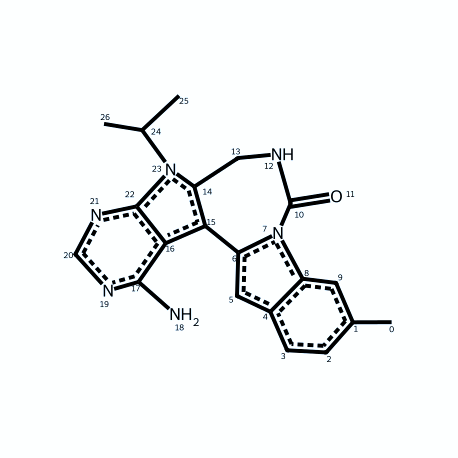 Cc1ccc2cc3n(c2c1)C(=O)NCc1c-3c2c(N)ncnc2n1C(C)C